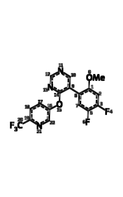 COc1cc(F)c(F)cc1-c1cncnc1Oc1ccc(C(F)(F)F)nc1